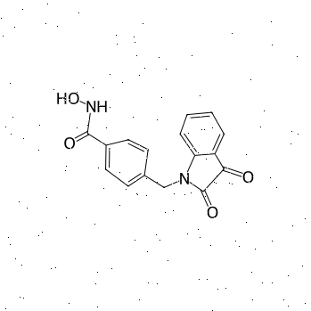 O=C(NO)c1ccc(CN2C(=O)C(=O)c3ccccc32)cc1